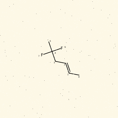 C/C=C/CC(C)(F)F